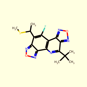 CSC(C)c1c(F)c2c3nonc3c(C(C)(C)C)nc2c2nonc12